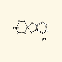 Oc1cccc2c1CC1(CCNCC1)C2